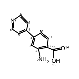 Nc1cc(-c2ccncc2)ccc1C(=O)O